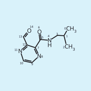 CC(C)CNC(=O)c1nccnc1C=O